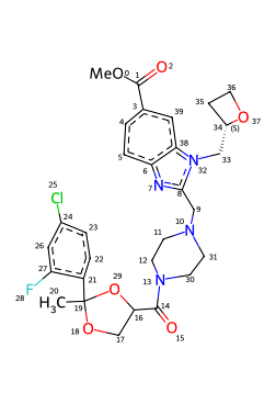 COC(=O)c1ccc2nc(CN3CCN(C(=O)C4COC(C)(c5ccc(Cl)cc5F)O4)CC3)n(C[C@@H]3CCO3)c2c1